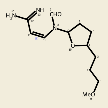 COCCCC1CCC(N(C=O)/C=C\C(=N)N)O1